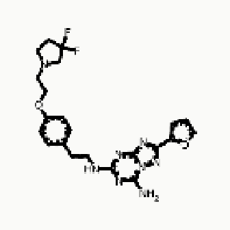 Nc1nc(NCCc2ccc(OCCN3CCC(F)(F)C3)cc2)nc2nc(-c3ccco3)nn12